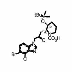 CC(C)(C)[Si](C)(C)O[C@H]1CCCN(C(=O)O)[C@@H]1CC(=O)Cn1cnc2c(Cl)c(Br)ccc21